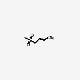 CC(C)(C)CCCS(C)(=O)=O